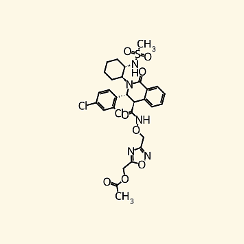 CC(=O)OCc1nc(CONC(=O)[C@@H]2c3ccccc3C(=O)N([C@H]3CCCC[C@@H]3NS(C)(=O)=O)[C@H]2c2ccc(Cl)cc2Cl)no1